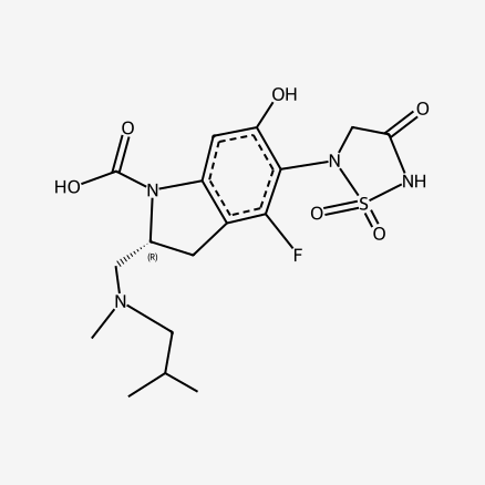 CC(C)CN(C)C[C@H]1Cc2c(cc(O)c(N3CC(=O)NS3(=O)=O)c2F)N1C(=O)O